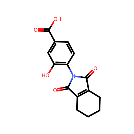 O=C(O)c1ccc(N2C(=O)C3=C(CCCC3)C2=O)c(O)c1